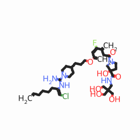 C=CCCCC/C(=C/Cl)NC(N)N1CCC(CCCOC(=C)/C=C(/F)C(=C)CC(=O)N2CCC(O)(C(=O)NCC(CO)(CO)CO)C2)CC1